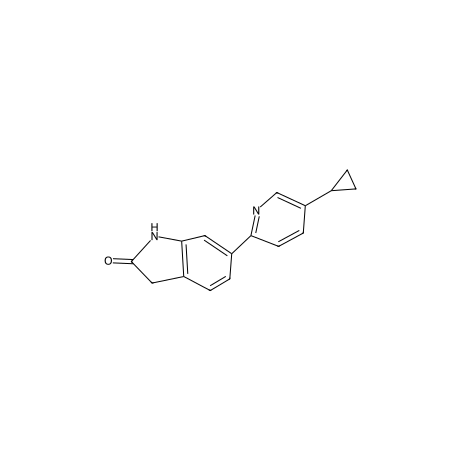 O=C1Cc2ccc(-c3ccc(C4CC4)cn3)cc2N1